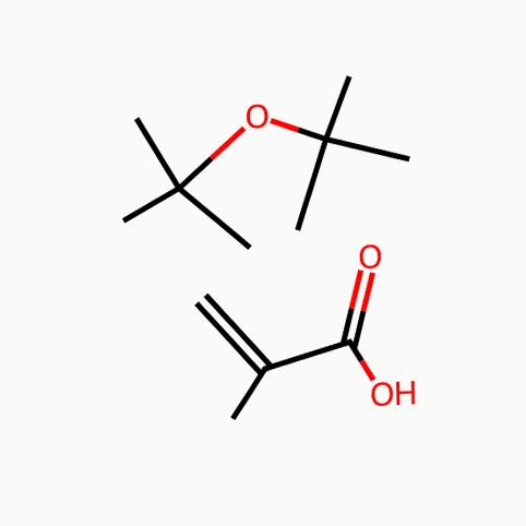 C=C(C)C(=O)O.CC(C)(C)OC(C)(C)C